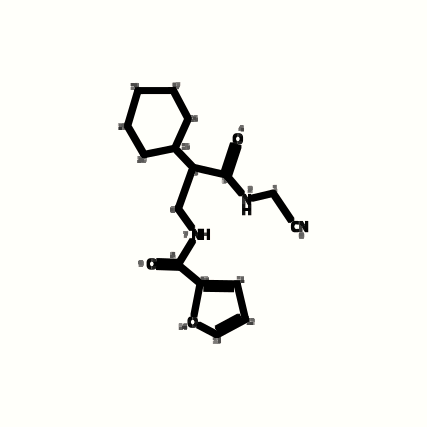 N#CCNC(=O)C(CNC(=O)c1ccco1)C1CCCCC1